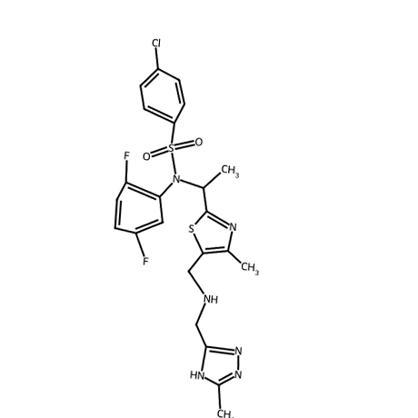 Cc1nnc(CNCc2sc(C(C)N(c3cc(F)ccc3F)S(=O)(=O)c3ccc(Cl)cc3)nc2C)[nH]1